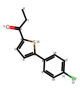 CCC(=O)c1ccc(-c2ccc(Br)cc2)s1